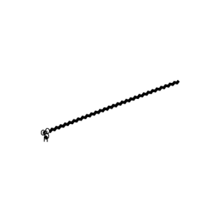 CCCCCCCCCCCCCCCCCCCCCCCCCCCCCCCCCCCCCCCCCCCCCCCCCCCCCCCCCCCCO[PH](=O)OC